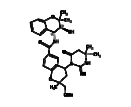 COCC1(C)CC(N2C(=N)NC(C)(C)CC2=O)c2cc(C(=O)N[C@@H]3c4ccccc4OC(C)(C)[C@H]3O)ccc2O1